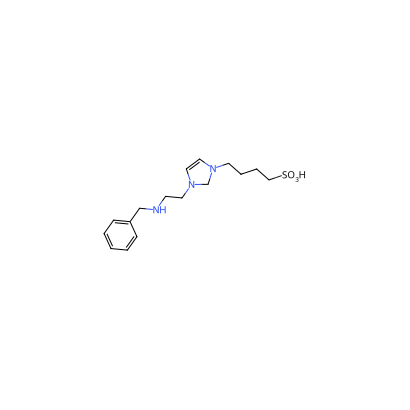 O=S(=O)(O)CCCCN1C=CN(CCNCc2ccccc2)C1